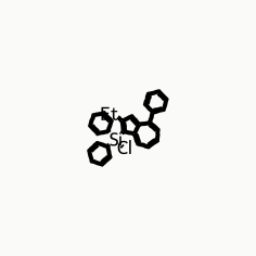 CCc1cc2c(-c3ccccc3)ccccc-2c1[Si](Cl)(C1C=CCC=C1)C1C=CCC=C1